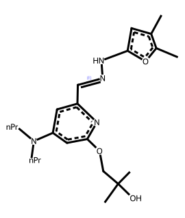 CCCN(CCC)c1cc(/C=N/Nc2cc(C)c(C)o2)nc(OCC(C)(C)O)c1